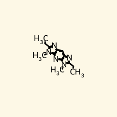 CCc1nc2cc3nc(CC)n(C)c3nc2n1C